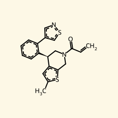 C=CC(=O)N1Cc2sc(C)cc2[C@@H](c2ccccc2-c2cnsc2)C1